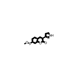 COSc1ccc2cc(-c3cc[nH]n3)c(=O)oc2c1